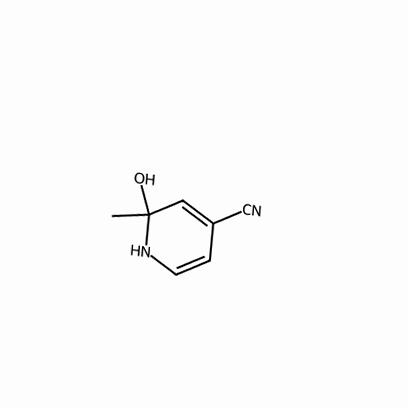 CC1(O)C=C(C#N)C=CN1